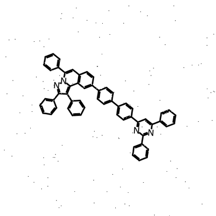 c1ccc(-c2cc(-c3ccc(-c4ccc(-c5ccc6cc(-c7ccccc7)n7nc(-c8ccccc8)c(-c8ccccc8)c7c6c5)cc4)cc3)nc(-c3ccccc3)n2)cc1